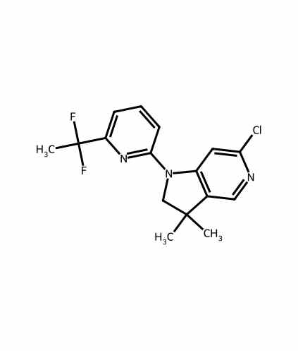 CC(F)(F)c1cccc(N2CC(C)(C)c3cnc(Cl)cc32)n1